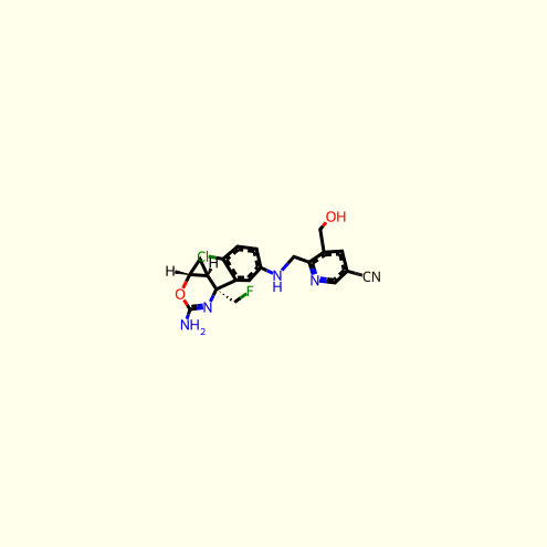 N#Cc1cnc(CNc2ccc(Cl)c([C@@]3(CF)N=C(N)O[C@@H]4C[C@@H]43)c2)c(CO)c1